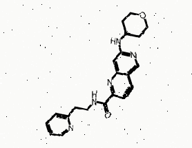 O=C(NCCc1ccccn1)c1ccc2cnc(NC3CCOCC3)cc2n1